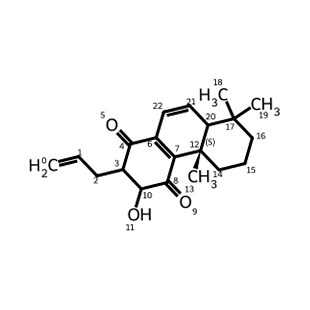 C=CCC1C(=O)C2=C(C(=O)C1O)[C@@]1(C)CCCC(C)(C)C1C=C2